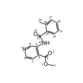 COC(=O)c1ccncc1NC(=O)c1ccccc1C